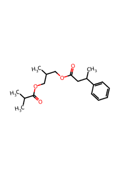 CC(COC(=O)CC(C)c1ccccc1)COC(=O)C(C)C